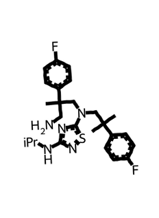 CC(C)Nc1nsc(N(CC(C)(C)c2ccc(F)cc2)CC(C)(CN)c2ccc(F)cc2)n1